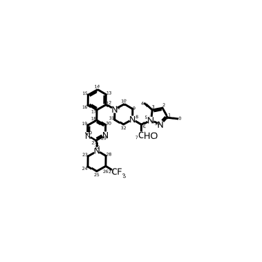 Cc1cc(C)n(C(C=O)N2CCN(c3ccccc3-c3cnc(N4CCCC(C(F)(F)F)C4)nc3)CC2)n1